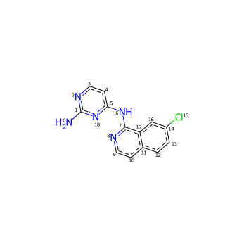 Nc1nccc(Nc2nccc3ccc(Cl)cc23)n1